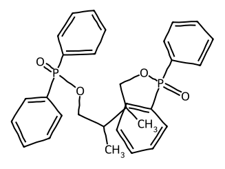 CC(COP(=O)(c1ccccc1)c1ccccc1)C(C)COP(=O)(c1ccccc1)c1ccccc1